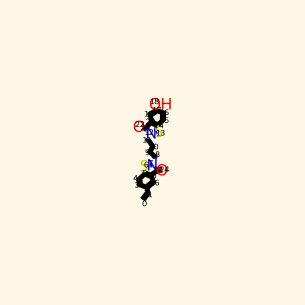 C=Cc1ccc2sn(CCCCn3sc4ccc(O)cc4c3=O)c(=O)c2c1